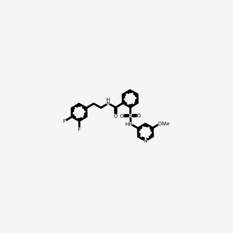 COc1cncc(NS(=O)(=O)c2ccccc2C(=O)NCCc2ccc(F)c(F)c2)c1